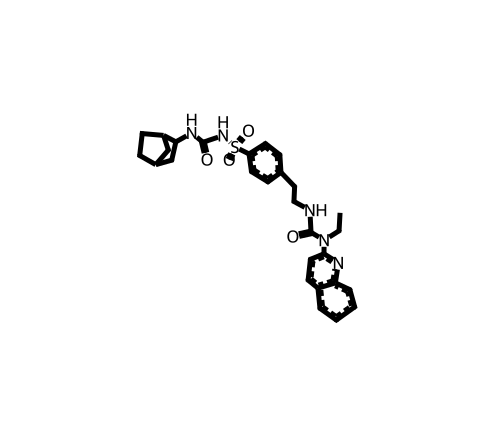 CCN(C(=O)NCCc1ccc(S(=O)(=O)NC(=O)NC2CC3CCC2C3)cc1)c1ccc2ccccc2n1